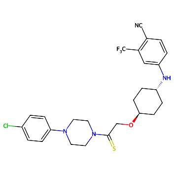 N#Cc1ccc(N[C@H]2CC[C@H](OCC(=S)N3CCN(c4ccc(Cl)cc4)CC3)CC2)cc1C(F)(F)F